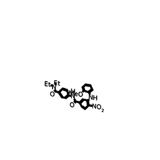 CCN(CC)C(=O)c1ccc(NC(=O)c2ccc([N+](=O)[O-])c(Nc3ccccc3OC)c2)cc1